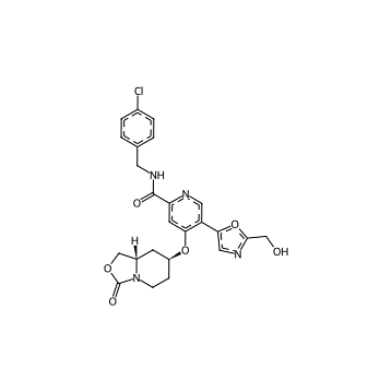 O=C(NCc1ccc(Cl)cc1)c1cc(O[C@H]2CCN3C(=O)OC[C@@H]3C2)c(-c2cnc(CO)o2)cn1